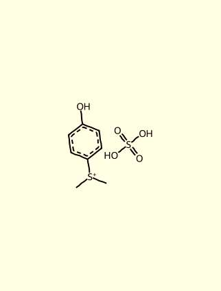 C[S+](C)c1ccc(O)cc1.O=S(=O)(O)O